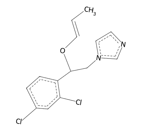 CC=COC(Cn1ccnc1)c1ccc(Cl)cc1Cl